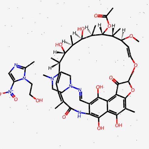 CO[C@H]1/C=C/O[C@@]2(C)Oc3c(C)c(O)c4c(O)c(c(/C=N/N5CCN(C)CC5)c(O)c4c3C2=O)NC(=O)/C(C)=C\C=C\[C@H](C)[C@H](O)[C@@H](C)[C@@H](O)[C@@H](C)[C@H](OC(C)=O)[C@@H]1C.Cc1ncc([N+](=O)[O-])n1CCO